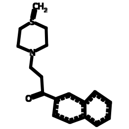 C=S1CCN(CCC(=O)c2ccc3ccccc3c2)CC1